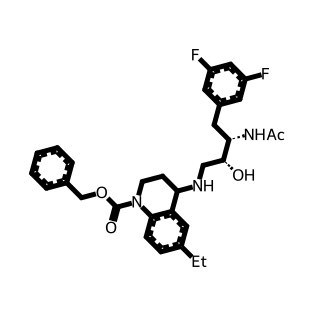 CCc1ccc2c(c1)C(NC[C@@H](O)[C@H](Cc1cc(F)cc(F)c1)NC(C)=O)CCN2C(=O)OCc1ccccc1